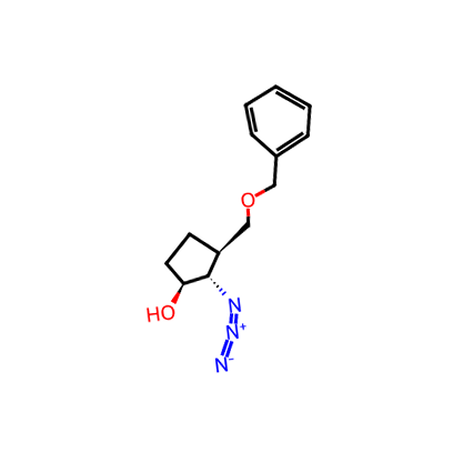 [N-]=[N+]=N[C@H]1[C@H](COCc2ccccc2)CC[C@@H]1O